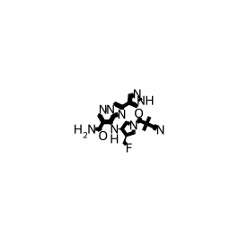 CC(C)(C#N)C(=O)N1C[C@@H](CF)[C@H](Nc2c(C(N)=O)cnn3cc(-c4cn[nH]c4)nc23)C1